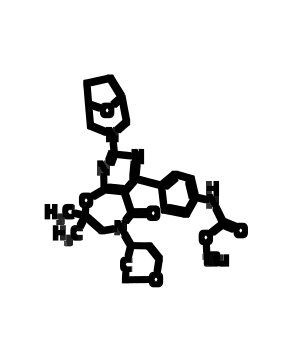 CC(C)(C)OC(=O)Nc1ccc(-c2nc(N3CC4CCC(C3)O4)nc3c2C(=O)N(C2CCOCC2)CC(C)(C)O3)cc1